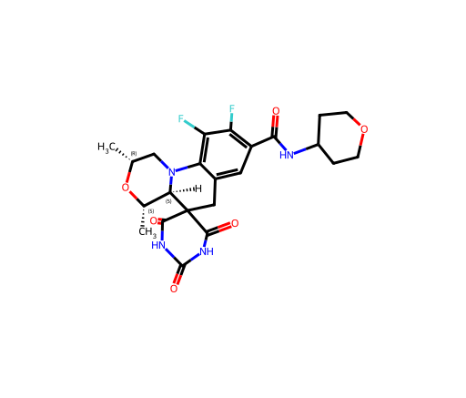 C[C@@H]1CN2c3c(cc(C(=O)NC4CCOCC4)c(F)c3F)CC3(C(=O)NC(=O)NC3=O)[C@H]2[C@H](C)O1